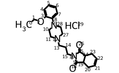 CCOc1ccccc1N1CCN(CCCN2C(=O)C3CC=CCC3C2=O)CC1.Cl